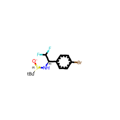 CC(C)(C)[S@+]([O-])N[C@H](c1ccc(Br)cc1)C(F)F